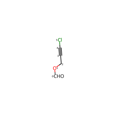 O=COCC#CCl